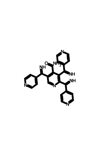 N=C(c1ccncc1)c1cnc(C(=N)c2ccncc2)c(C(=N)c2ccncc2)c1C(N)=O